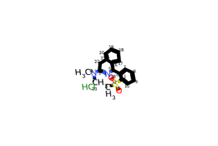 CN(C)C1=NC(c2ccccc2S(C)(=O)=O)c2ccccc2C1.Cl